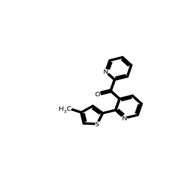 Cc1csc(-c2ncccc2C(=O)c2ccccn2)c1